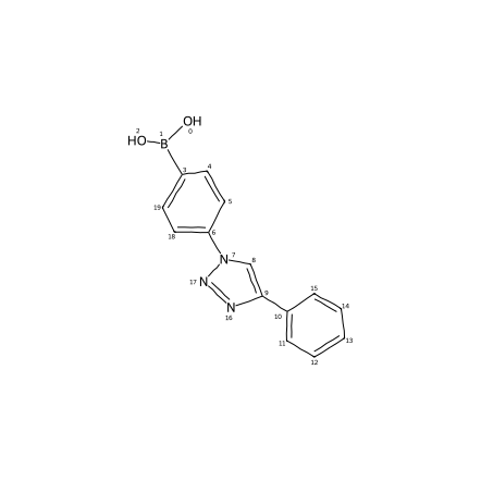 OB(O)c1ccc(-n2cc(-c3ccccc3)nn2)cc1